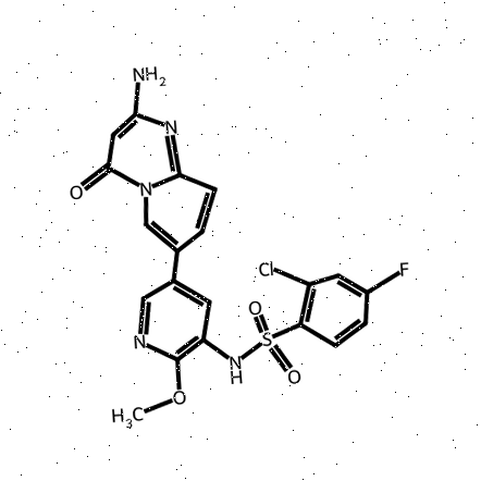 COc1ncc(-c2ccc3nc(N)cc(=O)n3c2)cc1NS(=O)(=O)c1ccc(F)cc1Cl